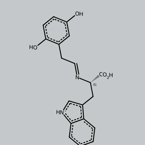 O=C(O)[C@H](Cc1c[nH]c2ccccc12)N=CCc1cc(O)ccc1O